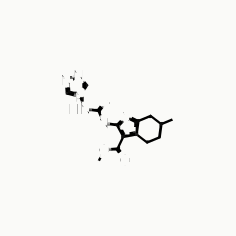 COC(=O)c1c(NC(=S)Nn2cnnc2)sc2c1CCC(C)C2